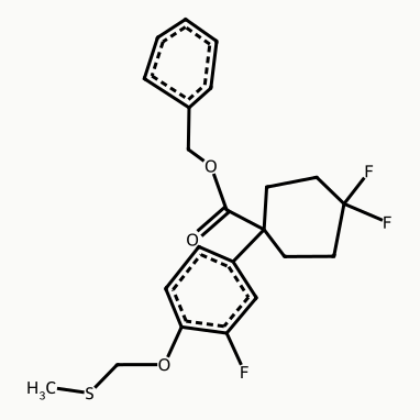 CSCOc1ccc(C2(C(=O)OCc3ccccc3)CCC(F)(F)CC2)cc1F